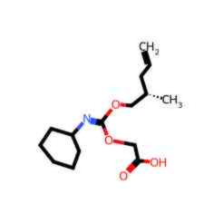 C=CC[C@H](C)COC(=NC1CCCCC1)OCC(=O)O